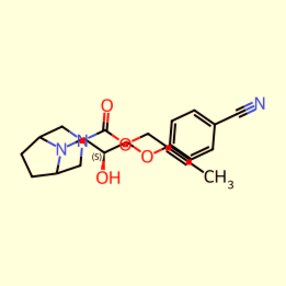 CC#CCOC(=O)N1CC2CCC(C1)N2C[C@H](O)COc1ccc(C#N)cc1